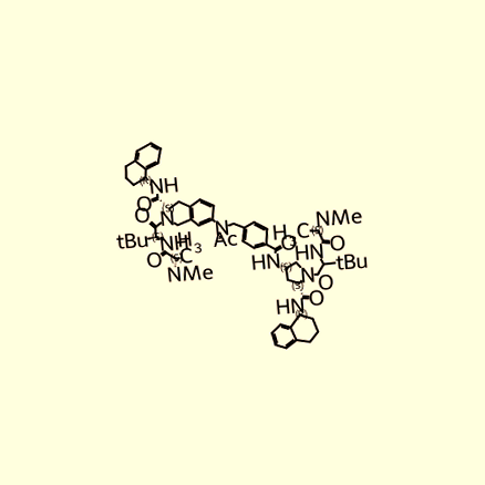 CN[C@@H](C)C(=O)NC(C(=O)N1C[C@@H](NC(=O)c2ccc(CN(C(C)=O)c3ccc4c(c3)CN(C(=O)[C@@H](NC(=O)[C@H](C)NC)C(C)(C)C)[C@H](C(=O)N[C@@H]3CCCc5ccccc53)C4)cc2)C[C@H]1C(=O)N[C@@H]1CCCc2ccccc21)C(C)(C)C